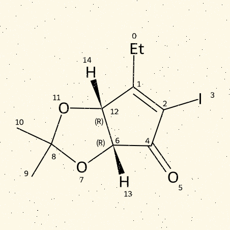 CCC1=C(I)C(=O)[C@@H]2OC(C)(C)O[C@H]12